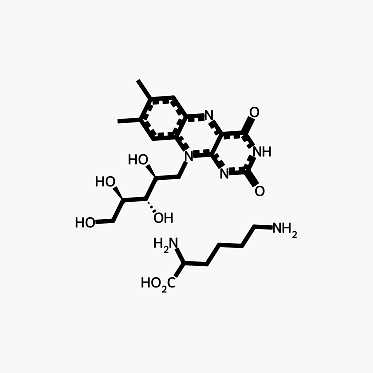 Cc1cc2nc3c(=O)[nH]c(=O)nc-3n(C[C@H](O)[C@H](O)[C@H](O)CO)c2cc1C.NCCCCC(N)C(=O)O